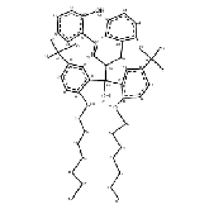 CCCCCCCOc1ccc(C(C)(C)C)cc1C(O)(c1cc(C(C)(C)C)ccc1OCCCCCCC)C(Cc1ccccc1)N=Cc1ccccc1O